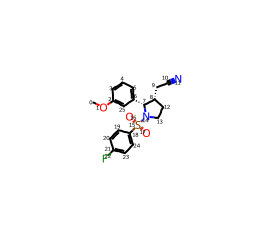 COc1cccc([C@@H]2[C@H](CC#N)CCN2S(=O)(=O)c2ccc(F)cc2)c1